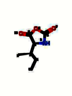 CC[C@H](C)[C@@H]1NC(=O)OC1=O